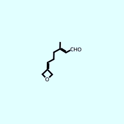 CC(=CC=O)CCC=C1COC1